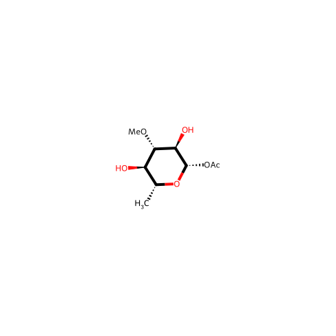 CO[C@@H]1[C@@H](O)[C@H](OC(C)=O)O[C@H](C)[C@H]1O